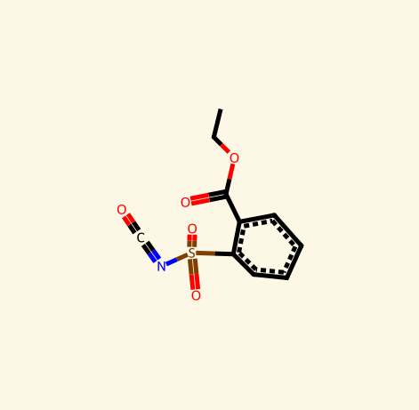 CCOC(=O)c1ccccc1S(=O)(=O)N=C=O